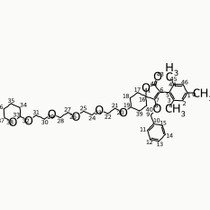 Cc1cc(C)c(C2=C(OCc3ccccc3)C3(CCC(OCCOCCOCCOCCOC4CCCCO4)CC3)OC2=O)c(C)c1